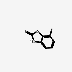 Fc1cccc2[nH]c(=S)oc12